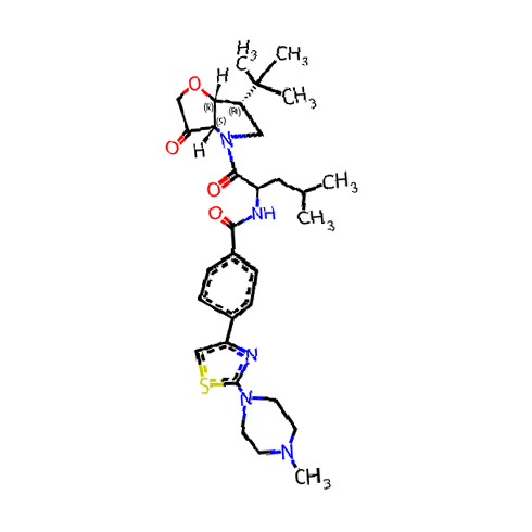 CC(C)CC(NC(=O)c1ccc(-c2csc(N3CCN(C)CC3)n2)cc1)C(=O)N1C[C@@H](C(C)(C)C)[C@H]2OCC(=O)[C@H]21